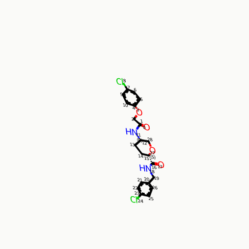 O=C(COc1ccc(Cl)cc1)N[C@@H]1CC[C@@H](C(=O)NCc2ccc(Cl)cc2)OC1